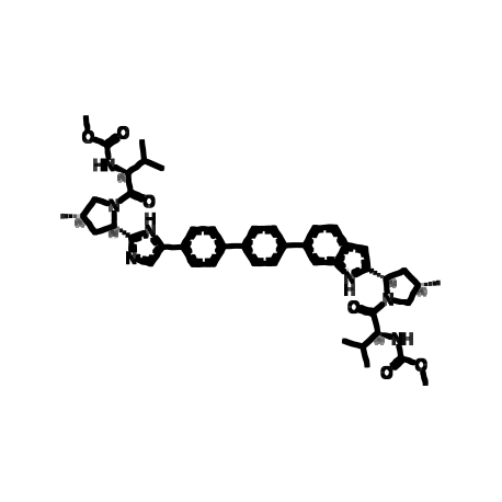 COC(=O)N[C@H](C(=O)N1C[C@@H](C)C[C@H]1c1cc2ccc(-c3ccc(-c4ccc(-c5cnc([C@@H]6C[C@H](C)CN6C(=O)[C@@H](NC(=O)OC)C(C)C)[nH]5)cc4)cc3)cc2[nH]1)C(C)C